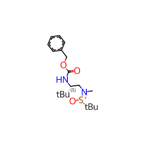 CN(C[C@@H](NC(=O)OCc1ccccc1)C(C)(C)C)[S+]([O-])C(C)(C)C